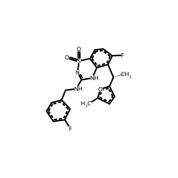 Cc1ccc([C@@H](C)c2c(F)ccc3c2NC(NCc2cccc(F)c2)=NS3(=O)=O)o1